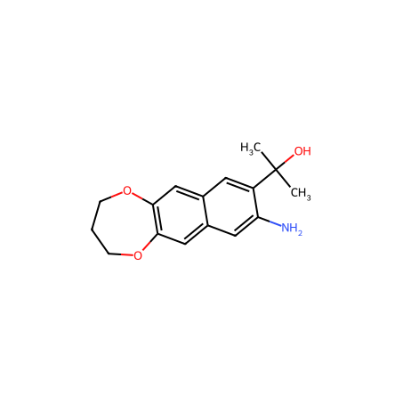 CC(C)(O)c1cc2cc3c(cc2cc1N)OCCCO3